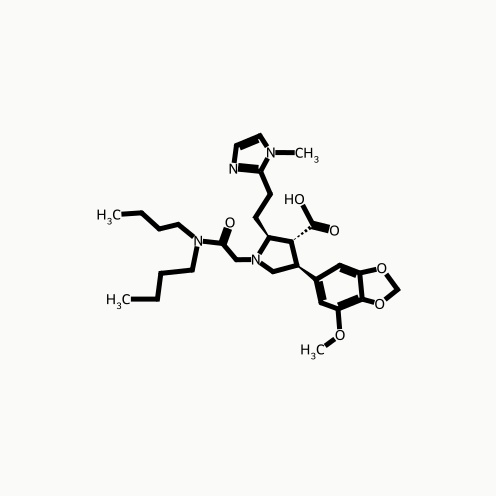 CCCCN(CCCC)C(=O)CN1C[C@H](c2cc(OC)c3c(c2)OCO3)[C@@H](C(=O)O)[C@@H]1CCc1nccn1C